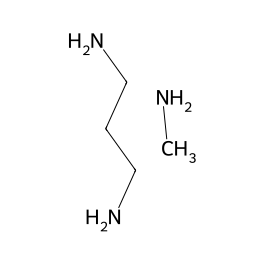 CN.NCCCN